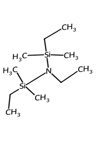 CCN([Si](C)(C)CC)[Si](C)(C)CC